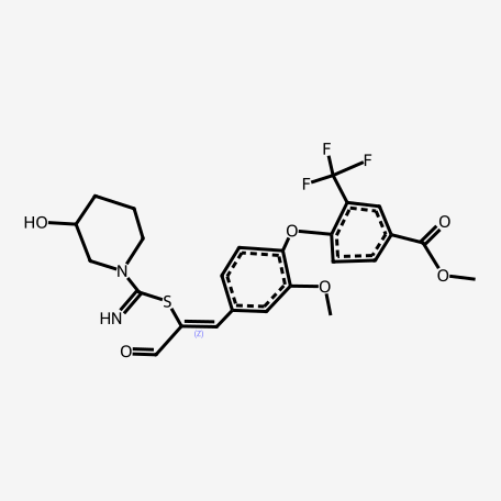 COC(=O)c1ccc(Oc2ccc(/C=C(/C=O)SC(=N)N3CCCC(O)C3)cc2OC)c(C(F)(F)F)c1